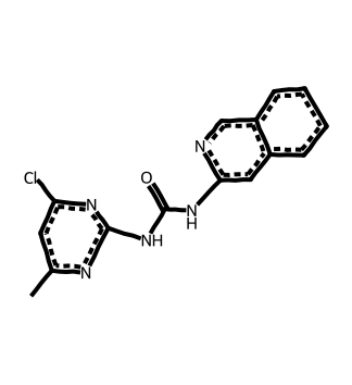 Cc1cc(Cl)nc(NC(=O)Nc2cc3ccccc3cn2)n1